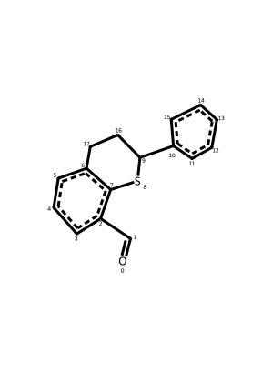 O=Cc1cccc2c1SC(c1ccccc1)CC2